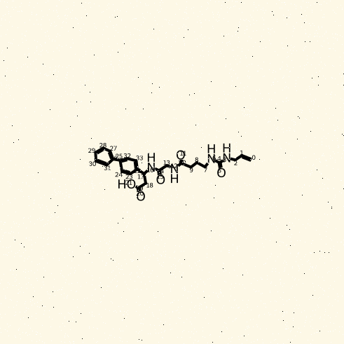 C=CCNC(=O)NCCCC(=O)NCC(=O)NC(CC(=O)O)c1ccc(-c2ccccc2)cc1